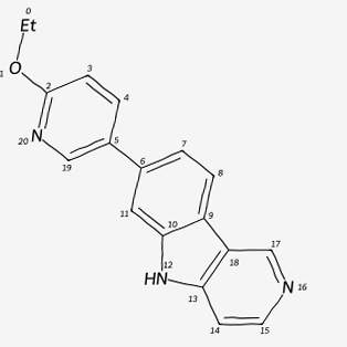 CCOc1ccc(-c2ccc3c(c2)[nH]c2ccncc23)cn1